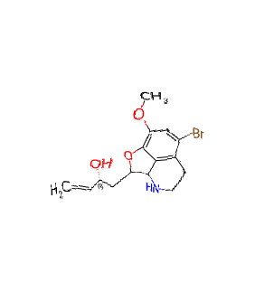 C=C[C@H](O)CC1Oc2c(OC)cc(Br)c3c2C1NCC3